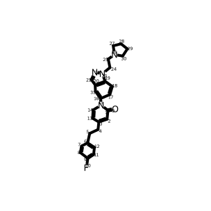 O=c1cc(CCc2ccc(F)cc2)ccn1-c1ccc2c(cnn2CCN2CCCC2)c1